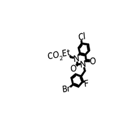 CCOC(=O)Cn1c(=O)n(Cc2ccc(Br)cc2F)c(=O)c2ccc(Cl)cc21